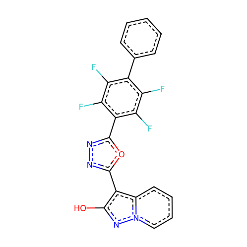 Oc1nn2ccccc2c1-c1nnc(-c2c(F)c(F)c(-c3ccccc3)c(F)c2F)o1